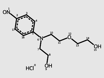 Cl.O=Nc1ccc(N(CCO)CCOCCO)cc1